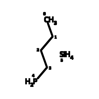 CCCCP.[SiH4]